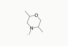 [CH2]N1CC(C)OCC1C